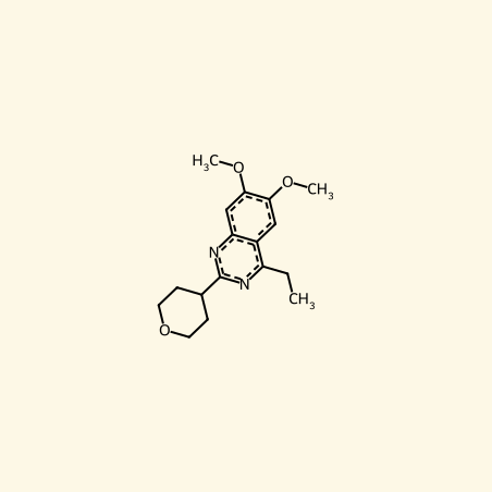 CCc1nc(C2CCOCC2)nc2cc(OC)c(OC)cc12